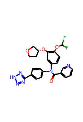 O=C(c1cccnc1)N(c1ccc(-c2nn[nH]n2)cc1)c1ccc(OC(F)F)c(O[C@@H]2CCOC2)c1